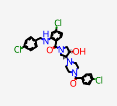 O=C(c1ccc(Cl)cc1)N1CCN([C@@H]2CN(C(=O)c3ccc(Cl)cc3NCc3ccc(Cl)cc3)C[C@H]2O)CC1